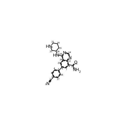 N#Cc1ccc(-c2cc(C(N)=O)c3ncnc(NC4CCCNC4)c3c2)cc1